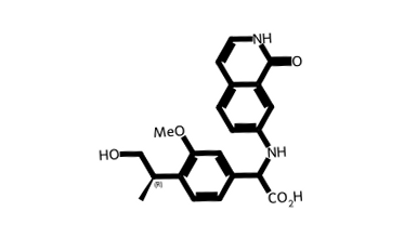 COc1cc(C(Nc2ccc3cc[nH]c(=O)c3c2)C(=O)O)ccc1[C@@H](C)CO